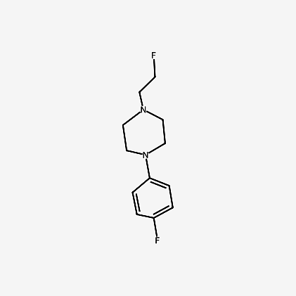 FCCN1CCN(c2ccc(F)cc2)CC1